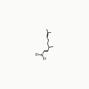 CCN(C=CC(C)CCC=C(C)C)CC